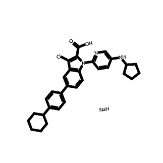 O=C(O)c1c(Cl)c2cc(-c3ccc(C4CCCCC4)cc3)ccc2n1-c1ccc(NC2CCCC2)cn1.[NaH]